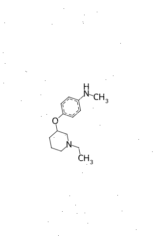 CCN1CCCC(Oc2ccc(NC)cc2)C1